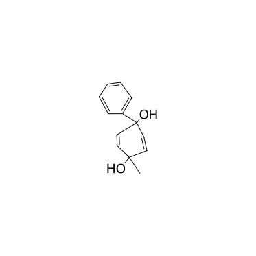 CC1(O)C=CC(O)(c2ccccc2)C=C1